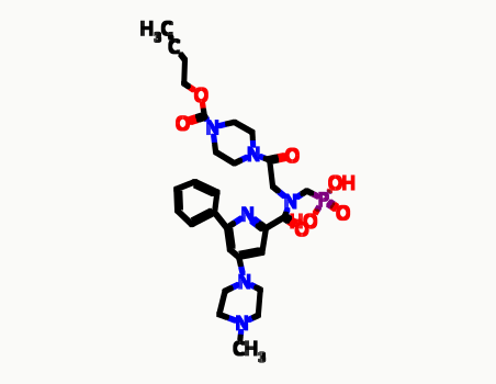 CCCCOC(=O)N1CCN(C(=O)CN(CP(=O)(O)O)C(=O)c2cc(N3CCN(C)CC3)cc(-c3ccccc3)n2)CC1